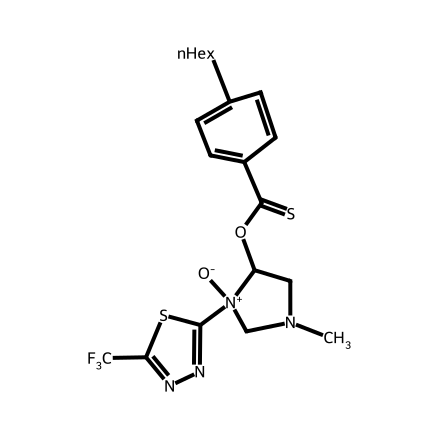 CCCCCCc1ccc(C(=S)OC2CN(C)C[N+]2([O-])c2nnc(C(F)(F)F)s2)cc1